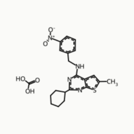 Cc1cc2c(NCc3cccc([N+](=O)[O-])c3)nc(C3CCCCC3)nc2s1.O=C(O)O